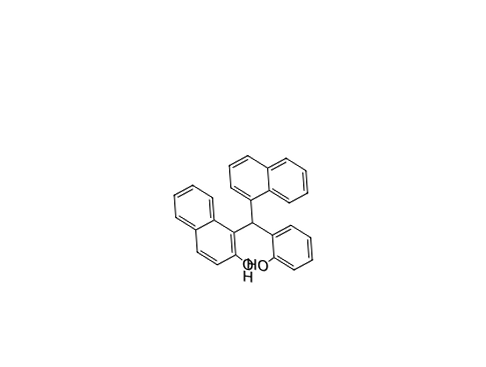 Oc1ccccc1C(c1cccc2ccccc12)c1c(O)ccc2ccccc12